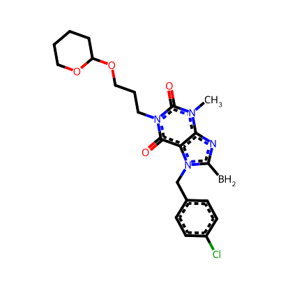 Bc1nc2c(c(=O)n(CCCOC3CCCCO3)c(=O)n2C)n1Cc1ccc(Cl)cc1